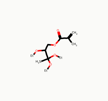 C=C(C)C(=O)OCC(OCC)C([SiH3])(OCC)OCC